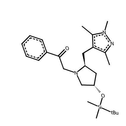 Cc1nn(C)c(C)c1C[C@H]1C[C@H](O[Si](C)(C)C(C)(C)C)CN1CC(=O)c1ccccc1